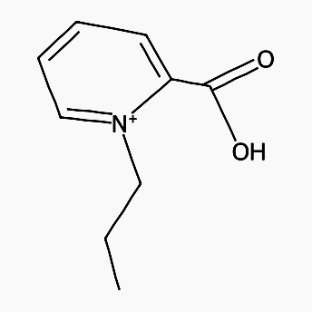 CCC[n+]1ccccc1C(=O)O